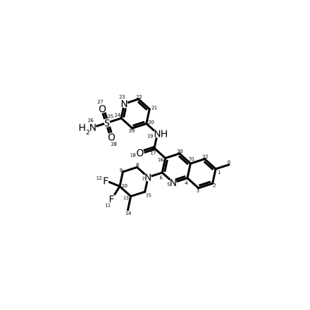 Cc1ccc2nc(N3CCC(F)(F)C(C)C3)c(C(=O)Nc3ccnc(S(N)(=O)=O)c3)cc2c1